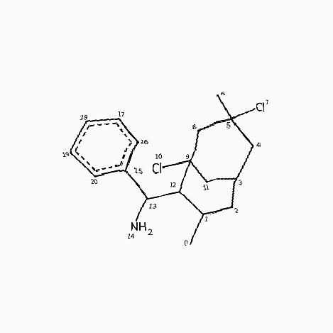 CC1CC2CC(C)(Cl)CC(Cl)(C2)C1C(N)c1ccccc1